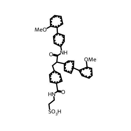 COc1ccccc1-c1ccc(NC(=O)C(Cc2ccc(C(=O)NCCS(=O)(=O)O)cc2)c2ccc(-c3ccccc3OC)cc2)cc1